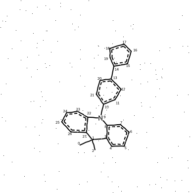 CC1(C)c2ccccc2N(c2ccc(-c3ccccc3)cc2)c2ccccc21